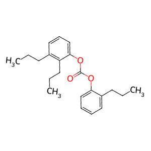 CCCc1ccccc1OC(=O)Oc1cccc(CCC)c1CCC